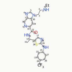 CCNCCn1cnc2cnc(C(=O)NC(C)c3cnc(Nc4ccc(C(F)(F)F)cc4)s3)cc21